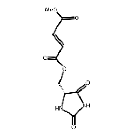 COC(=O)/C=C/C(=O)OC[C@H]1NC(=O)NC1=O